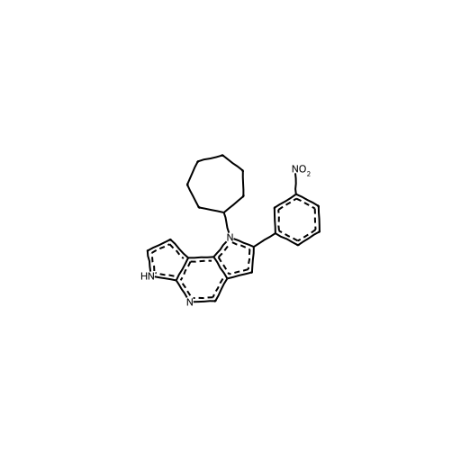 O=[N+]([O-])c1cccc(-c2cc3cnc4[nH]ccc4c3n2C2CCCCCC2)c1